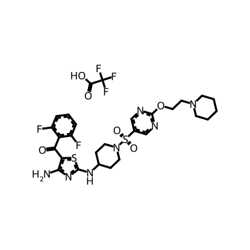 Nc1nc(NC2CCN(S(=O)(=O)c3cnc(OCCN4CCCCC4)nc3)CC2)sc1C(=O)c1c(F)cccc1F.O=C(O)C(F)(F)F